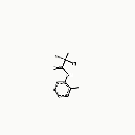 Cc1ccccc1NC(=O)C(C)(Cl)Br